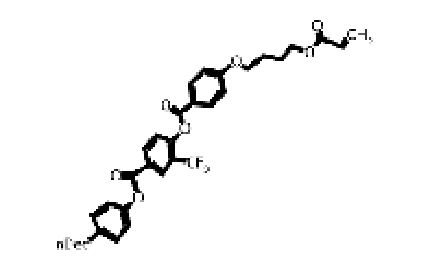 C=CC(=O)OCCCCOc1ccc(C(=O)Oc2ccc(C(=O)Oc3ccc(CCCCCCCCCC)cc3)cc2C(F)(F)F)cc1